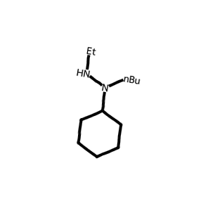 CCCCN(NCC)C1CCCCC1